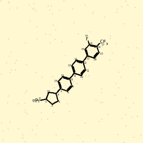 CCCC1CCC(c2ccc(-c3ccc(-c4ccc(C(F)(F)F)c(F)c4)cc3)cc2)C1